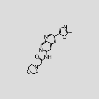 Cc1ncc(-c2cnc3cnc(NC(=O)CN4CCOCC4)cc3c2)o1